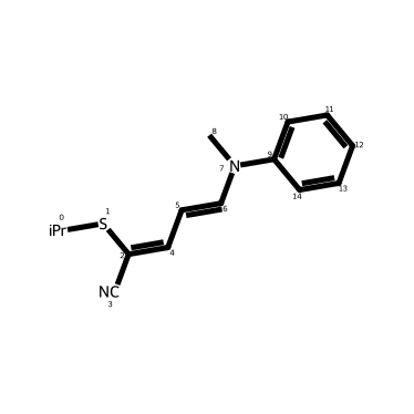 CC(C)S/C(C#N)=C\C=C\N(C)c1ccccc1